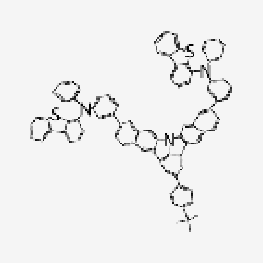 CC(C)(C)c1ccc(-c2cc3c4cc5ccc(-c6cccc(N(c7ccccc7)c7cccc8c7sc7ccccc78)c6)cc5cc4n4c5cc6cc(-c7cccc(N(c8ccccc8)c8cccc9c8sc8ccccc89)c7)ccc6cc5c(c2)c34)cc1